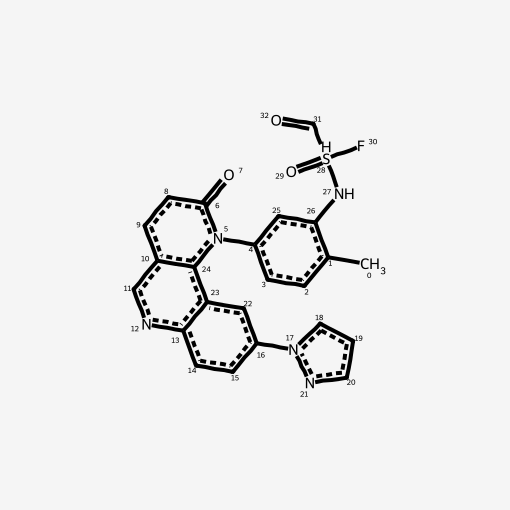 Cc1ccc(-n2c(=O)ccc3cnc4ccc(-n5cccn5)cc4c32)cc1N[SH](=O)(F)C=O